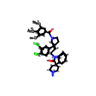 COc1cc(C(=O)N2CCC(CCNC(=O)C3(c4ccccc4)CCNCC3)(c3ccc(Cl)c(Cl)c3)C2)cc(OC)c1OC(C)=O